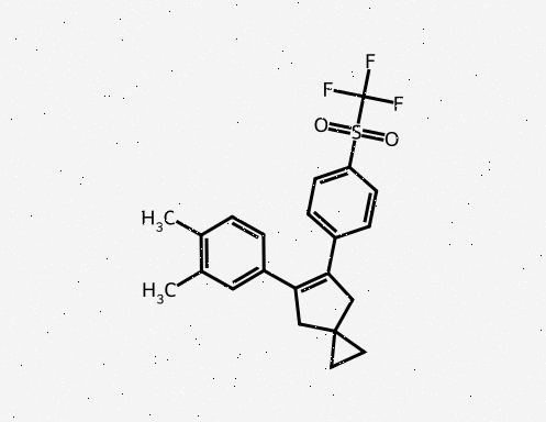 Cc1ccc(C2=C(c3ccc(S(=O)(=O)C(F)(F)F)cc3)CC3(CC3)C2)cc1C